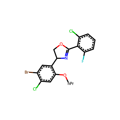 CCCOc1cc(Cl)c(Br)cc1C1COC(c2c(F)cccc2Cl)=N1